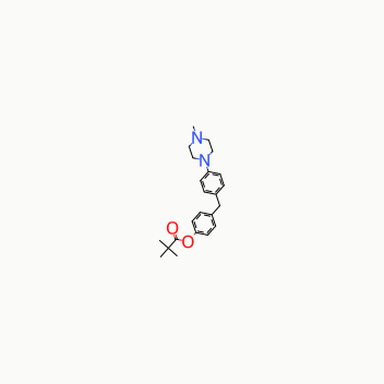 CN1CCN(c2ccc(Cc3ccc(OC(=O)C(C)(C)C)cc3)cc2)CC1